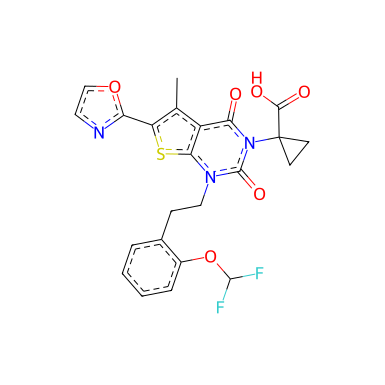 Cc1c(-c2ncco2)sc2c1c(=O)n(C1(C(=O)O)CC1)c(=O)n2CCc1ccccc1OC(F)F